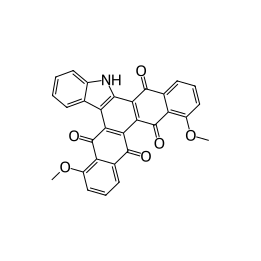 COc1cccc2c(=O)c3c4[nH]c5ccccc5c4c4c(=O)c5c(OC)cccc5c(=O)c4c3c(=O)c12